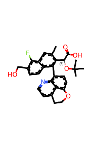 Cc1cc2c(F)c(CO)ccc2c(-c2ccc3c4c(ccnc24)CCO3)c1[C@@H](OC(C)(C)C)C(=O)O